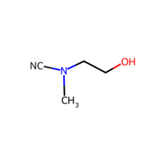 CN(C#N)CCO